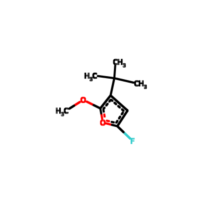 COc1oc(F)cc1C(C)(C)C